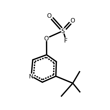 CC(C)(C)c1cncc(OS(=O)(=O)F)c1